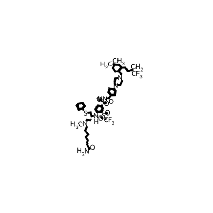 C=C(CCC1=C(CN2CCN(c3ccc(C(=O)NS(=O)(=O)c4ccc(N[C@H](CCN(C)CCCCCCC(N)=O)CSc5ccccc5)c(S(=O)(=O)C(F)(F)F)c4)cc3)CC2)CCC(C)(C)C1)C(F)(F)F